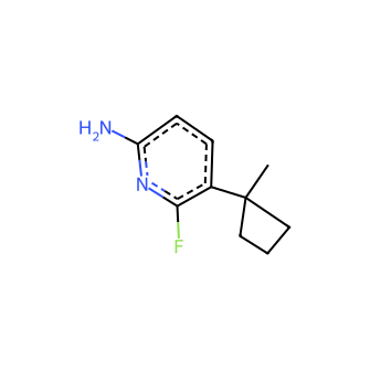 CC1(c2ccc(N)nc2F)CCC1